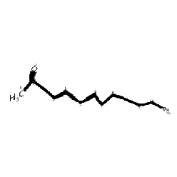 CC(=O)CCCCCCCCBr